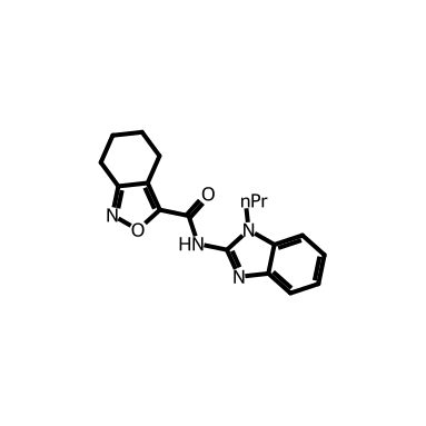 CCCn1c(NC(=O)c2onc3c2CCCC3)nc2ccccc21